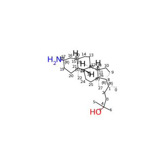 C[C@H](CCC(C)(C)O)[C@H]1CC[C@H]2[C@@H]3CC[C@@H]4C[C@H](N)CC[C@]4(C)[C@H]3CC[C@]12C